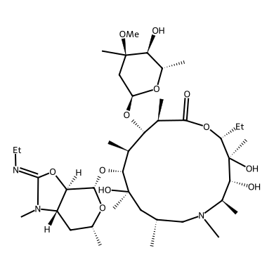 CCN=C1O[C@H]2[C@H](O[C@@H]3[C@@H](C)[C@H](O[C@H]4C[C@@](C)(OC)[C@@H](O)[C@H](C)O4)[C@@H](C)C(=O)O[C@H](CC)[C@@](C)(O)[C@H](O)[C@@H](C)N(C)C[C@H](C)C[C@@]3(C)O)O[C@H](C)C[C@@H]2N1C